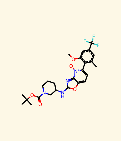 COc1cc(C(F)(F)F)cc(C)c1C1=CC=C2OC(N[C@@H]3CCCN(C(=O)OC(C)(C)C)C3)N=C2[NH+]1[O-]